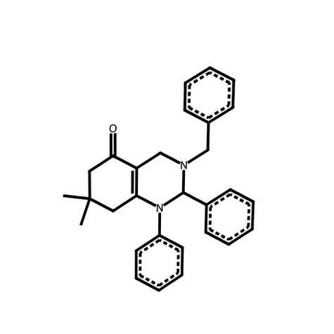 CC1(C)CC(=O)C2=C(C1)N(c1ccccc1)C(c1ccccc1)N(Cc1ccccc1)C2